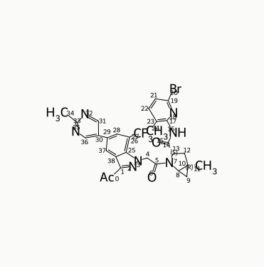 CC(=O)c1nn(CC(=O)N2C3C[C@]3(C)C[C@H]2C(=O)Nc2nc(Br)ccc2C)c2c(C(F)(F)F)cc(-c3cnc(C)nc3)cc12